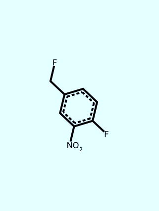 O=[N+]([O-])c1cc(CF)ccc1F